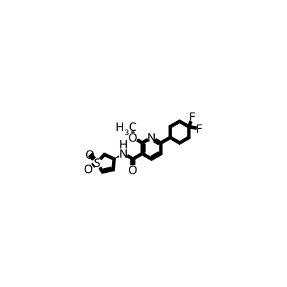 COc1nc(C2CCC(F)(F)CC2)ccc1C(=O)N[C@@H]1C=CS(=O)(=O)C1